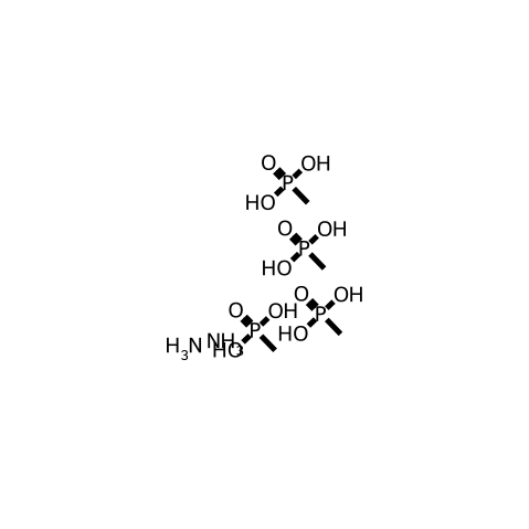 CP(=O)(O)O.CP(=O)(O)O.CP(=O)(O)O.CP(=O)(O)O.N.N